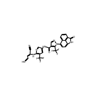 N#C/C(=C/C=N)Nc1ncc(NC(=O)c2cnn(-c3ccc4c5c(cccc35)C(=O)N4)c2C(F)(F)F)cc1C(F)(F)F